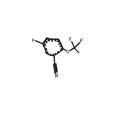 N#Cc1cc(F)ccc1OC(F)(F)F